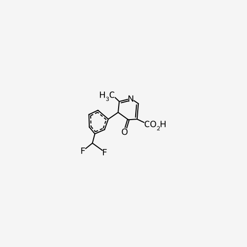 CC1=NC=C(C(=O)O)C(=O)C1c1cccc(C(F)F)c1